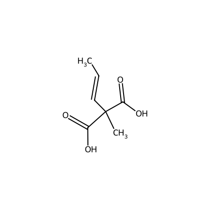 CC=CC(C)(C(=O)O)C(=O)O